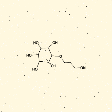 OCCCOC1C(O)C(O)C(O)C(O)C1O